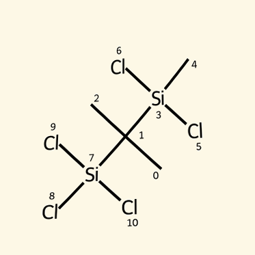 CC(C)([Si](C)(Cl)Cl)[Si](Cl)(Cl)Cl